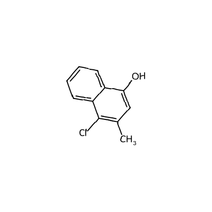 Cc1cc(O)c2ccccc2c1Cl